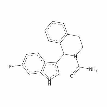 NC(=O)N1CCc2ccccc2C1c1c[nH]c2cc(F)ccc12